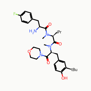 CC(C)[C@@H](C(=O)N(C)[C@@H](Cc1ccc(O)c(C(C)(C)C)c1)C(=O)N1CCOCC1)N(C)C(=O)[C@@H](N)Cc1ccc(F)cc1